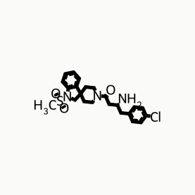 CS(=O)(=O)N1CC2(CCN(C(=O)C[C@@H](N)Cc3ccc(Cl)cc3)CC2)c2ccccc21